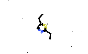 CCc1cnc(CC)s1